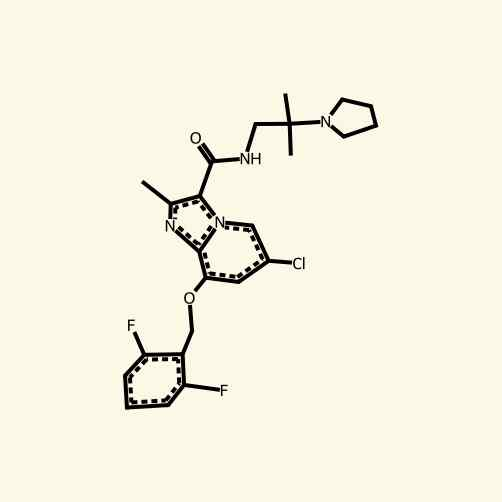 Cc1nc2c(OCc3c(F)cccc3F)cc(Cl)cn2c1C(=O)NCC(C)(C)N1CCCC1